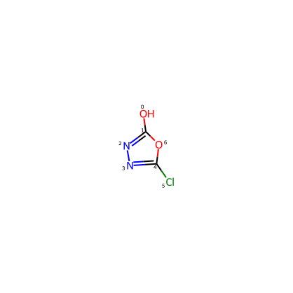 Oc1nnc(Cl)o1